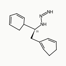 N=NN[C@@H](CC1=CCCC=C1)C1C=CC=CC1